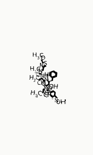 COCc1nc(CN(C)C(=O)N[C@H](C(=O)N[C@@H](Cc2ccccc2)[C@H](O)CN(CC(C)C)S(=O)(=O)c2ccc(/C=N/O)cc2)C(C)C)cs1